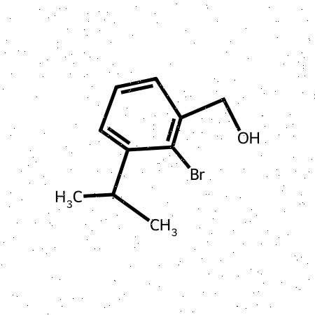 C[C](C)c1cccc(CO)c1Br